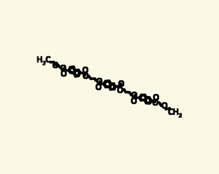 C=CCOCCOC(=O)c1ccc2cc(C(=O)OCCCCOC(=O)c3ccc4cc(C(=O)OCCCCOC(=O)c5ccc6cc(C(=O)OCCOCC=C)ccc6c5)ccc4c3)ccc2c1